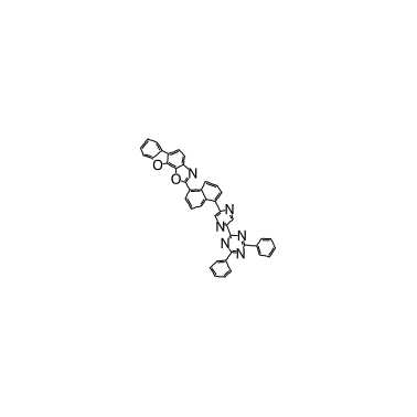 c1ccc(-c2nc(-c3ccccc3)nc(-c3cnc(-c4cccc5c(-c6nc7ccc8c9ccccc9oc8c7o6)cccc45)cn3)n2)cc1